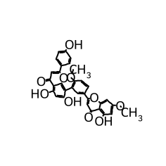 COc1cc(O)c2c(=O)cc(-c3ccc(OC)c(-c4c(O)cc(O)c5c(=O)cc(-c6ccc(O)cc6)oc45)c3)oc2c1